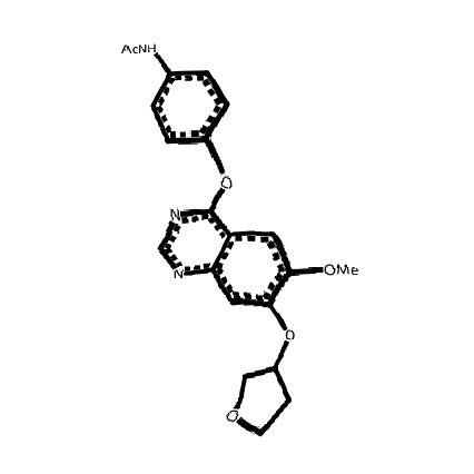 COc1cc2c(Oc3ccc(NC(C)=O)cc3)ncnc2cc1OC1CCOC1